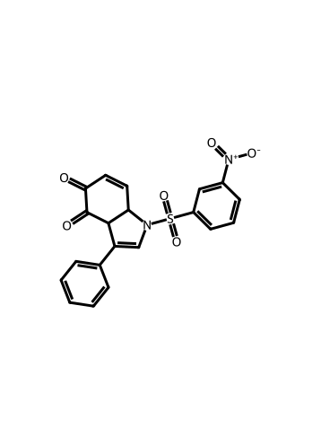 O=C1C=CC2C(C1=O)C(c1ccccc1)=CN2S(=O)(=O)c1cccc([N+](=O)[O-])c1